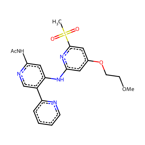 COCCOc1cc(Nc2cc(NC(C)=O)ncc2-c2ccccn2)nc(S(C)(=O)=O)c1